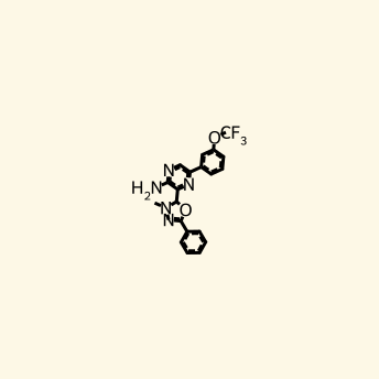 CN1N=C(c2ccccc2)OC1c1nc(-c2cccc(OC(F)(F)F)c2)cnc1N